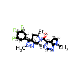 CC[C@H]1Cc2c(nn(C)c2-c2cc(F)c(F)c(F)c2)[C@@H](CC)N1C(=O)c1ncnc2c1ccn2C